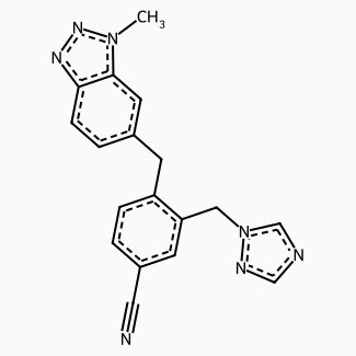 Cn1nnc2ccc(Cc3ccc(C#N)cc3Cn3cncn3)cc21